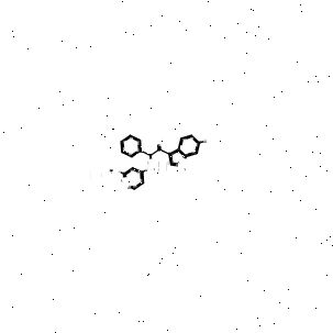 COc1cc(NC(C(=O)c2c[nH]c3cc(C)ccc23)c2ccccc2)ccn1